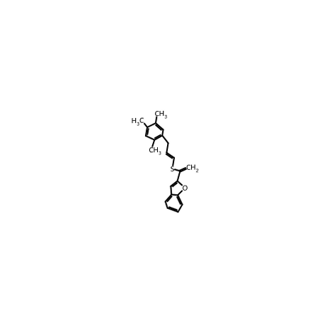 C=C(S/C=C/Cc1cc(C)c(C)cc1C)c1cc2ccccc2o1